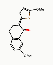 COC1=CCC(=C2CCc3ccc(OC)cc3C2=O)S1